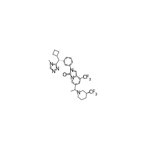 CC(c1cc(C(F)(F)F)c2cn(-c3cccc([C@H](c4nncn4C)C4CCC4)c3)c(=O)n2c1)N1CCC[C@H](C(F)(F)F)C1